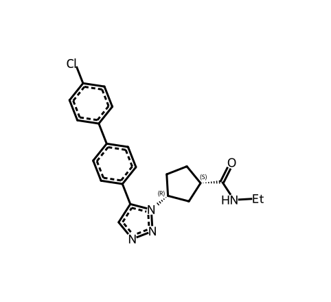 CCNC(=O)[C@H]1CC[C@@H](n2nncc2-c2ccc(-c3ccc(Cl)cc3)cc2)C1